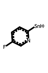 Fc1cc[c]([SnH])nc1